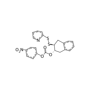 O=C(Oc1ccc([N+](=O)[O-])cc1)O[C@H]1Cc2ccccc2C[C@@H]1SSc1ccccn1